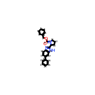 O=C(OCc1ccccc1)N1CCCC1c1nc2ccc(-c3ccccc3)cc2[nH]1